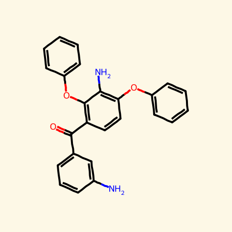 Nc1cccc(C(=O)c2ccc(Oc3ccccc3)c(N)c2Oc2ccccc2)c1